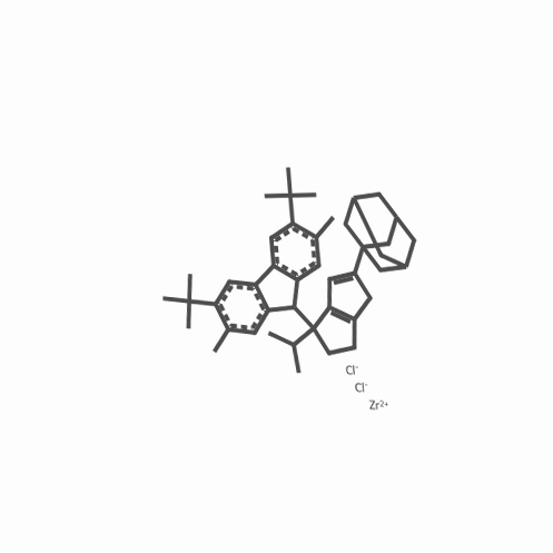 Cc1cc2c(cc1C(C)(C)C)-c1cc(C(C)(C)C)c(C)cc1C2C1(C(C)C)CCC2=C1C=C(C13CC4CC(CC(C4)C1)C3)C2.[Cl-].[Cl-].[Zr+2]